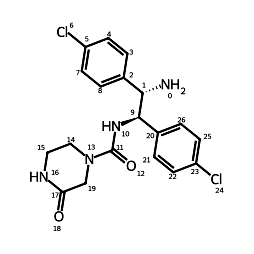 N[C@@H](c1ccc(Cl)cc1)[C@H](NC(=O)N1CCNC(=O)C1)c1ccc(Cl)cc1